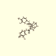 CC1=C(F)C=CC(CNC23CC4CC(CC(NCc5ccc(F)c(C)c5)(C4)C2)C3)C1